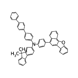 CC1(C)c2ccccc2-c2ccc(N(c3ccc(-c4ccc(-c5ccccc5)cc4)cc3)c3ccc(-c4cc5c6ccccc6oc5c5ccccc45)cc3)cc21